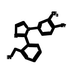 CC(C)Cc1ccccc1-c1nccn1-c1ccc(C(C)C)c(C(F)(F)F)c1